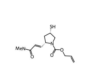 C=CCOC(=O)N1C[C@@H](S)C[C@H]1/C=C/C(=O)NC